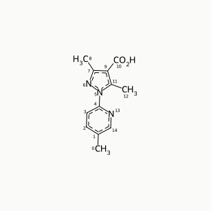 Cc1ccc(-n2nc(C)c(C(=O)O)c2C)nc1